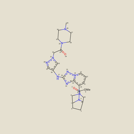 COC(=O)N1C2CCC1CN(c1cccn3nc(Nc4cnn(CC(=O)N5CCN(C)CC5)c4)nc13)C2